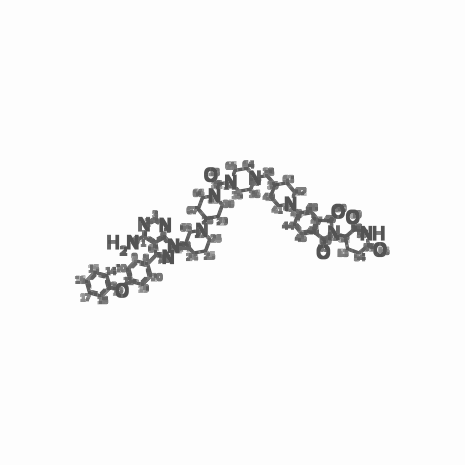 Nc1ncnc2c1c(-c1ccc(Oc3ccccc3)cc1)nn2[C@@H]1CCCN(C2CCN(C(=O)N3CCN(CC4CCN(c5ccc6c(c5)C(=O)N(C5CCC(=O)NC5=O)C6=O)CC4)CC3)CC2)C1